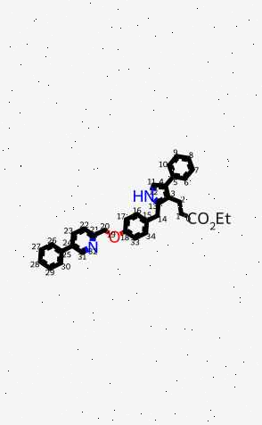 CCOC(=O)CCc1c(-c2ccccc2)c[nH]c1Cc1ccc(OCc2ccc(-c3ccccc3)cn2)cc1